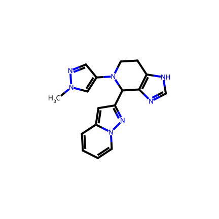 Cn1cc(N2CCc3[nH]cnc3C2c2cc3ccccn3n2)cn1